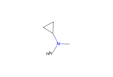 CCCN(C)C1CC1